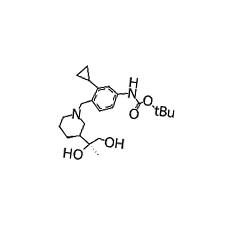 CC(C)(C)OC(=O)Nc1ccc(CN2CCC[C@H]([C@](C)(O)CO)C2)c(C2CC2)c1